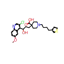 COc1ccc2ncc(Cl)c(C(O)CCC3(C(=O)O)CCN(CCCCc4ccsc4)CC3)c2c1